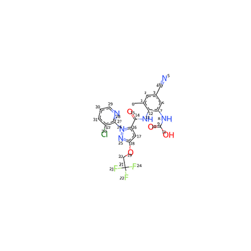 Cc1cc(C#N)cc(NC(=O)O)c1NC(=O)c1cc(OCC(F)(F)F)nn1-c1ncccc1Cl